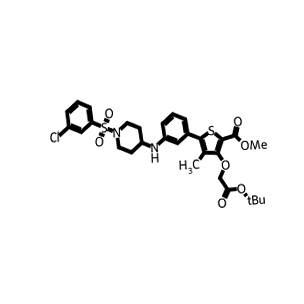 COC(=O)c1sc(-c2cccc(NC3CCN(S(=O)(=O)c4cccc(Cl)c4)CC3)c2)c(C)c1OCC(=O)OC(C)(C)C